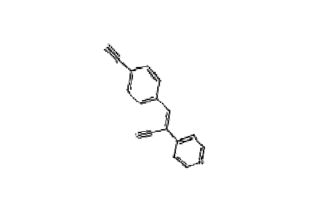 C#Cc1ccc(C=C(C#N)c2ccncc2)cc1